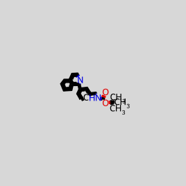 CC(C)(C)OC(=O)NCc1cccc(-c2nccc3ccccc23)c1